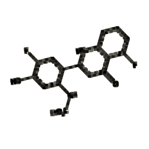 CCOC(=O)Nc1cc(O)c(F)cc1-c1cc(=O)c2c(F)cccc2[nH]1